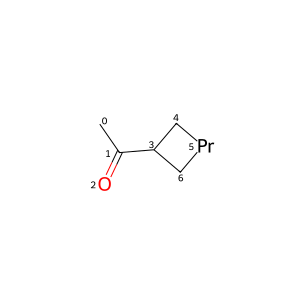 CC(=O)C1[CH2][Pr][CH2]1